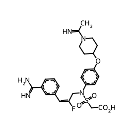 CC(=N)N1CCC(Oc2ccc(N(C/C(F)=C\c3cccc(C(=N)N)c3)S(=O)(=O)CC(=O)O)cc2)CC1